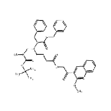 COc1nc2ccccc2cc1C(=O)COC(=O)CCCC(CN(C)C(=O)OC(C)(C)C)N(Cc1ccccc1)C(=O)OCc1ccccc1